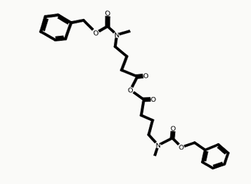 CN(CCCC(=O)OC(=O)CCCN(C)C(=O)OCc1ccccc1)C(=O)OCc1ccccc1